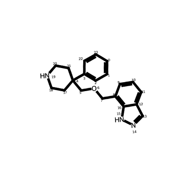 c1ccc(C2(COCc3cccc4cn[nH]c34)CCNCC2)cc1